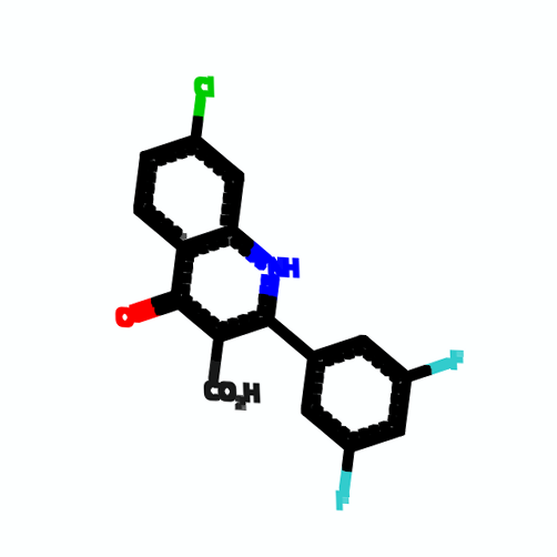 O=C(O)c1c(-c2cc(F)cc(F)c2)[nH]c2cc(Cl)ccc2c1=O